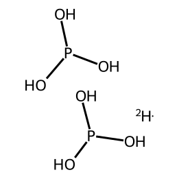 OP(O)O.OP(O)O.[2H]